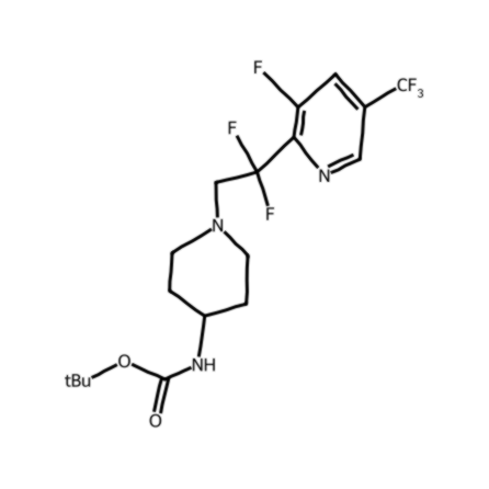 CC(C)(C)OC(=O)NC1CCN(CC(F)(F)c2ncc(C(F)(F)F)cc2F)CC1